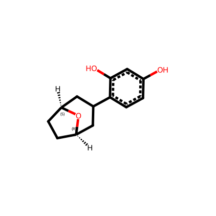 Oc1ccc(C2C[C@H]3CC[C@@H](C2)O3)c(O)c1